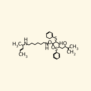 C=C(C)C(O)CC(CC(SC1=CC=CCC1)C(=O)ONCCCCCCNC(C)C=CC)SC1=C=C=CC=C1